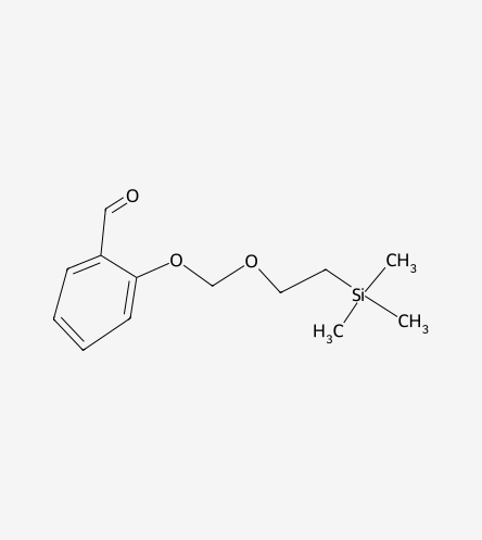 C[Si](C)(C)CCOCOc1ccccc1C=O